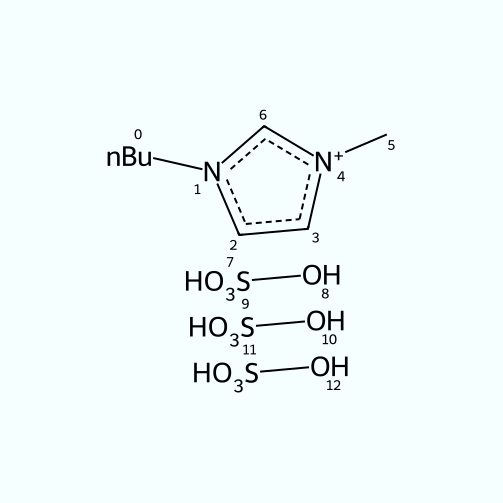 CCCCn1cc[n+](C)c1.O=S(=O)(O)O.O=S(=O)(O)O.O=S(=O)(O)O